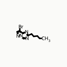 CCCCCc1n[c]n2ncc(Br)c2n1